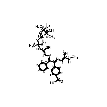 CN/C(S)=N/N=C(/C(=N/N=C(\S)NC(C)(C)CCOC(C)(N)C(C)(C)C)c1ccccc1)c1ccc(C(=O)O)cc1